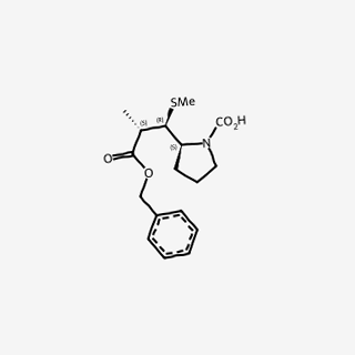 CS[C@H]([C@@H](C)C(=O)OCc1ccccc1)[C@@H]1CCCN1C(=O)O